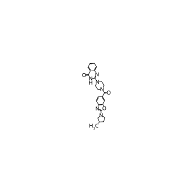 CC1CCN(c2nc3ccc(C(=O)N4CCN(c5nc6ccccc6c(=O)[nH]5)CC4)cc3o2)C1